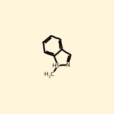 [CH2][SH]1N=Cc2ccccc21